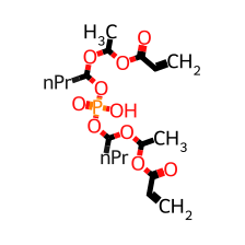 C=CC(=O)OC(C)OC(CCC)OP(=O)(O)OC(CCC)OC(C)OC(=O)C=C